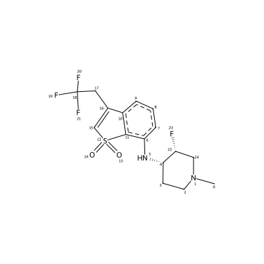 CN1CC[C@H](Nc2cccc3c2S(=O)(=O)C=C3CC(F)(F)F)[C@H](F)C1